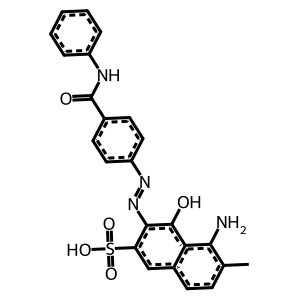 Cc1ccc2cc(S(=O)(=O)O)c(N=Nc3ccc(C(=O)Nc4ccccc4)cc3)c(O)c2c1N